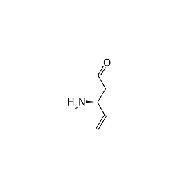 C=C(C)[C@@H](N)CC=O